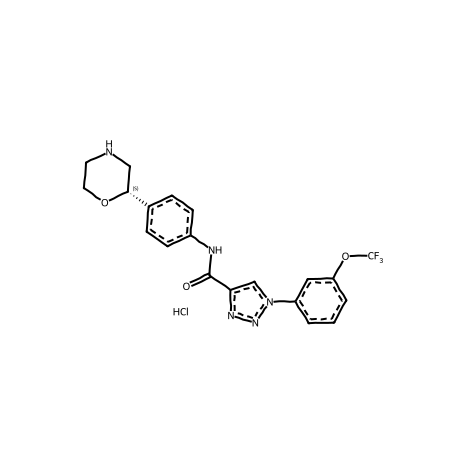 Cl.O=C(Nc1ccc([C@H]2CNCCO2)cc1)c1cn(-c2cccc(OC(F)(F)F)c2)nn1